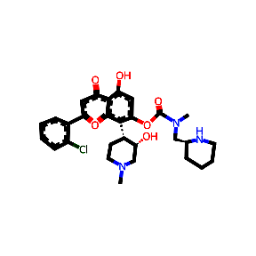 CN1CC[C@H](c2c(OC(=O)N(C)C[C@@H]3CCCCN3)cc(O)c3c(=O)cc(-c4ccccc4Cl)oc23)[C@H](O)C1